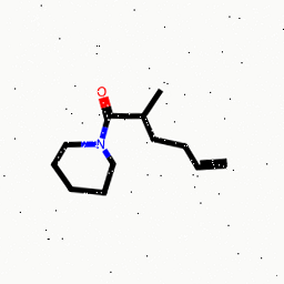 C=CCCC(C)C(=O)N1CCCCC1